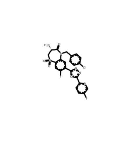 N[C@H]1CS(=O)(=O)c2cc(F)c(-c3nnc(-c4ccc(F)cn4)o3)cc2N(Cc2ccc(Cl)cc2)C1=O